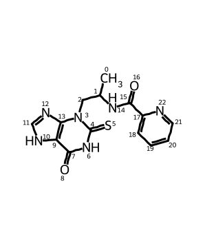 CC(Cn1c(=S)[nH]c(=O)c2[nH]cnc21)NC(=O)c1ccccn1